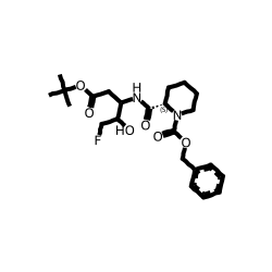 CC(C)(C)OC(=O)CC(NC(=O)[C@@H]1CCCCN1C(=O)OCc1ccccc1)C(O)CF